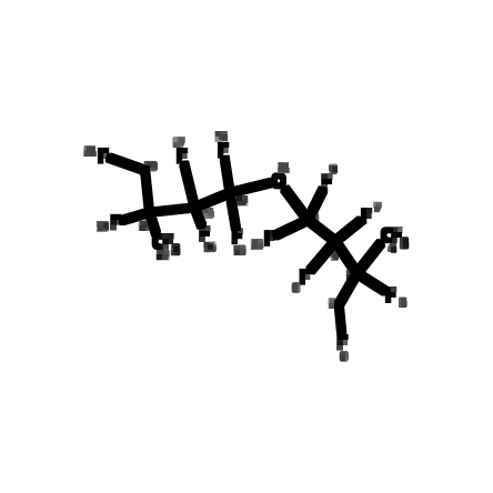 FCC(F)(C(F)(F)F)C(F)(F)C(F)(F)OC(F)(F)C(F)(F)C(F)(CF)C(F)(F)F